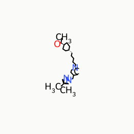 CCC(=O)[C@H]1CC[C@H](CCCCCN2CCC(Cn3cc(C(C)C)cn3)CC2)CC1